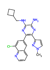 Cn1ccc(-c2nc(N)c(NCC3CCC3)nc2-c2cc(Cl)c3ncccc3c2)n1